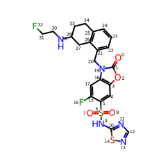 O=c1oc2cc(S(=O)(=O)Nc3ncns3)c(F)cc2n1Cc1cccc2c1CC(NCCF)CC2